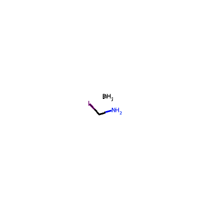 NCI.[BiH3]